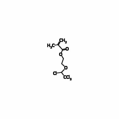 C=C(C)C(=O)OCCOC(Cl)C(Cl)(Cl)Cl